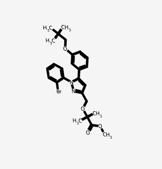 COC(=O)C(C)(C)OCc1cc(-c2cccc(OCC(C)(C)C)c2)n(-c2ccccc2Br)n1